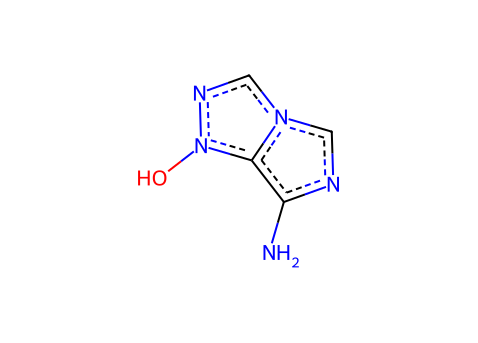 Nc1ncn2cnn(O)c12